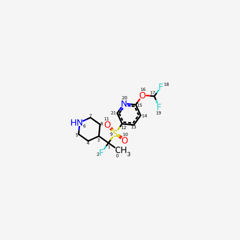 CC(F)(C1CCNCC1)S(=O)(=O)c1ccc(OC(F)F)nc1